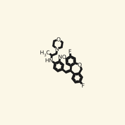 CC(CN1CCOCC1)Nc1ccc(C=C2c3ccc(F)cc3COc3cc(F)ccc32)cc1[N+](=O)[O-]